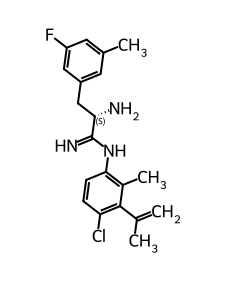 C=C(C)c1c(Cl)ccc(NC(=N)[C@@H](N)Cc2cc(C)cc(F)c2)c1C